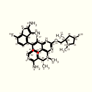 C[C@H](c1nccnc1N)N(C)c1nc(OC[C@@]2(C)C[C@@H](F)CN2C)nc2c(F)c(-c3ccc(F)c4sc(N)c(C#N)c34)c(Cl)cc12